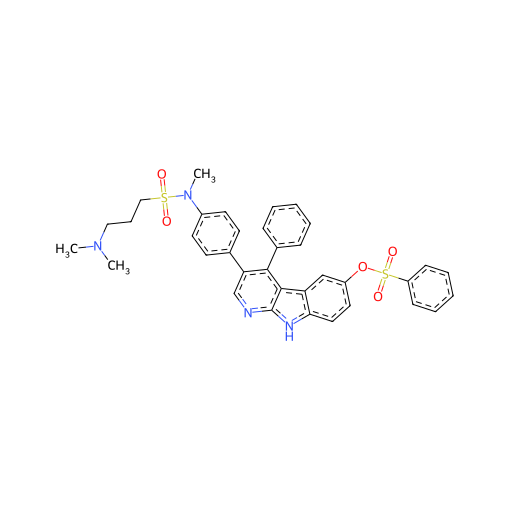 CN(C)CCCS(=O)(=O)N(C)c1ccc(-c2cnc3[nH]c4ccc(OS(=O)(=O)c5ccccc5)cc4c3c2-c2ccccc2)cc1